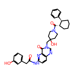 O=C(Cc1cccc(O)c1)Nc1ccc2ncn(CC3(O)CCN(C(=O)[C@H]4CCCC[C@@H]4c4ccccc4)CC3)c(=O)c2n1